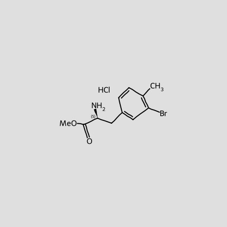 COC(=O)[C@@H](N)Cc1ccc(C)c(Br)c1.Cl